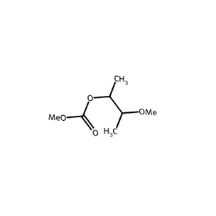 COC(=O)OC(C)C(C)OC